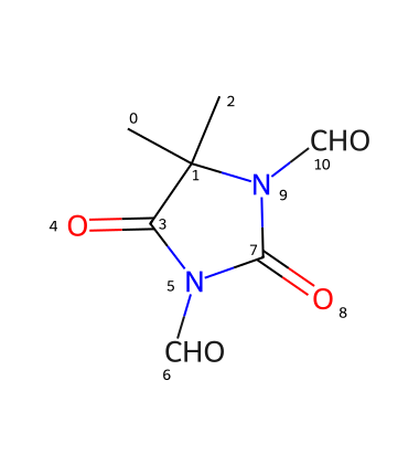 CC1(C)C(=O)N(C=O)C(=O)N1C=O